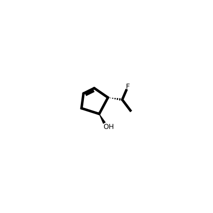 CC(F)[C@H]1C=CC[C@@H]1O